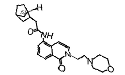 O=C(CC1CC2CC[C@H]1C2)Nc1cccc2c(=O)n(CCN3CCOCC3)ccc12